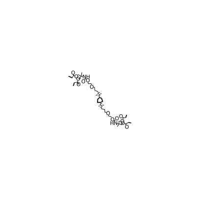 C=CC(=O)OCC(C)(COC(=O)C=C)NC(=O)OCCOCCCS(C)(C)c1ccc(S(C)(C)CCCOCCOC(=O)NC(C)(COC(=O)C=C)COC(=O)C=C)cc1